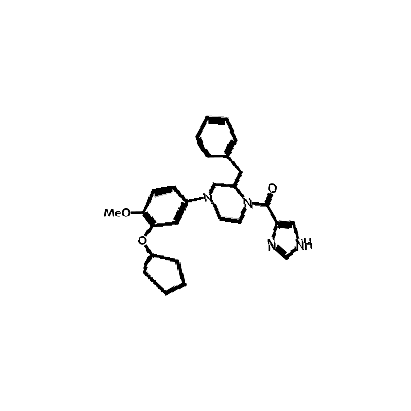 COc1ccc(N2CCN(C(=O)c3c[nH]cn3)C(Cc3ccccc3)C2)cc1OC1CCCC1